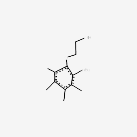 CCCCc1c(C)c(C)c(C)c(C)c1OCCO